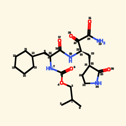 CC(C)COC(=O)N[C@@H](CC1CCCCC1)C(=O)N[C@@H](C[C@@H]1CCNC1=O)C(=O)C(N)=O